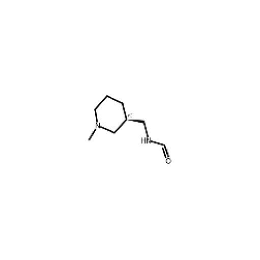 CN1CCC[C@@H](CNC=O)C1